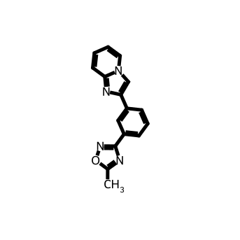 Cc1nc(-c2cccc(-c3cn4ccccc4n3)c2)no1